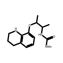 CNC(=O)NC(C)C(C)Oc1cccc2c1NCCC2